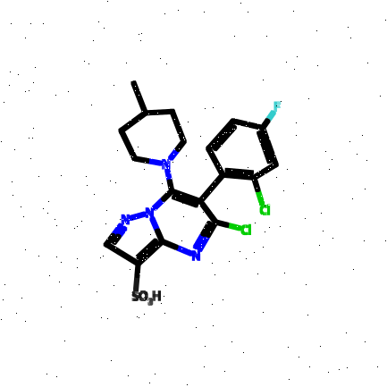 CC1CCN(c2c(-c3ccc(F)cc3Cl)c(Cl)nc3c(S(=O)(=O)O)cnn23)CC1